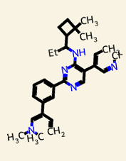 C=C/C(=C\N(C)C)c1cccc(-c2ncc(C(/C=N\C)=C/C)c(NC(CC)C3CCC3(C)C)n2)c1